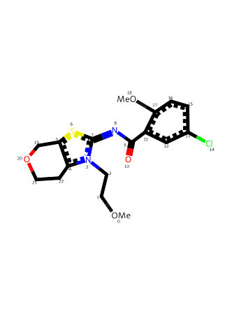 COCCn1c2c(sc1=NC(=O)c1cc(Cl)ccc1OC)COCC2